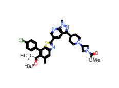 COC(=O)N1CC(N2CCC(c3nn(C)c4ncc(-c5nc6cc(C)c([C@H](OC(C)(C)C)C(=O)O)c(-c7ccc(Cl)cc7)c6s5)cc34)CC2)C1